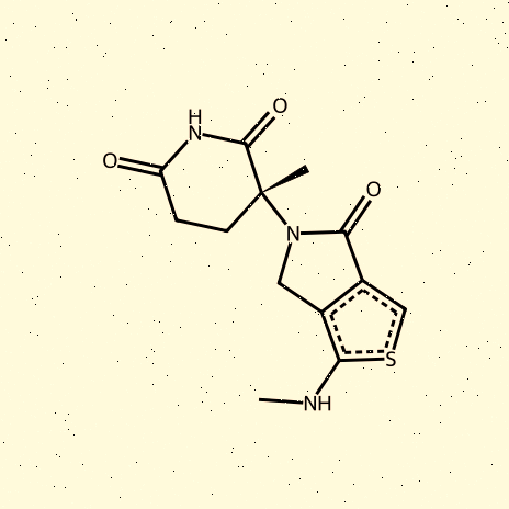 CNc1scc2c1CN([C@]1(C)CCC(=O)NC1=O)C2=O